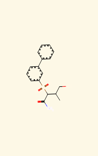 CC(CO)C(C(N)=O)S(=O)(=O)c1cccc(-c2ccccc2)c1